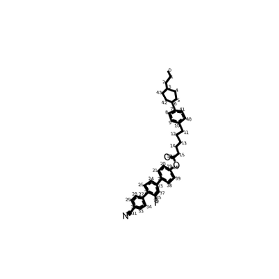 CCCC1CCC(c2ccc(CCCCCC(=O)Oc3ccc(-c4ccc(-c5ccc(C#N)cc5)c(F)c4)cc3)cc2)CC1